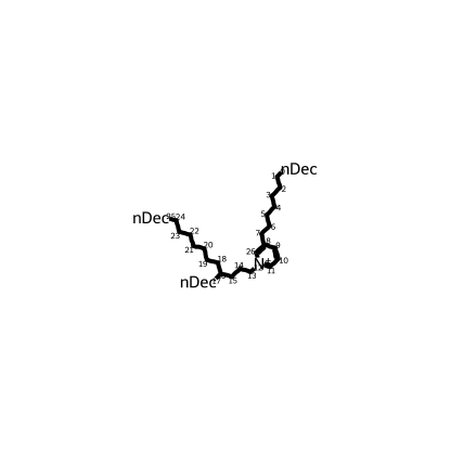 CCCCCCCCCCCCCCCCCc1ccc[n+](CCCC(CCCCCCCCCC)CCCCCCCCCCCCCCCCC)c1